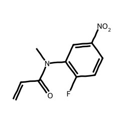 C=CC(=O)N(C)c1cc([N+](=O)[O-])ccc1F